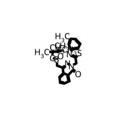 Cc1ccc2sc(Cn3nc(CB4OC(C)(C)C(C)(C)O4)c4ccccc4c3=O)nc2c1